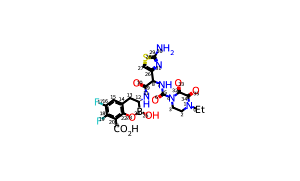 CCN1CCN(C(=O)NC(C(=O)N[C@H]2Cc3cc(F)c(F)c(C(=O)O)c3OB2O)c2csc(N)n2)C(=O)C1=O